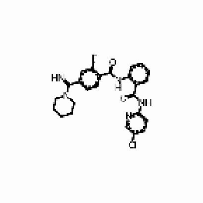 N=C(c1ccc(C(=O)Nc2ccccc2C(=O)Nc2ccc(Cl)cn2)c(F)c1)N1CCCCC1